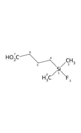 C[Si](C)(F)CCCC(=O)O